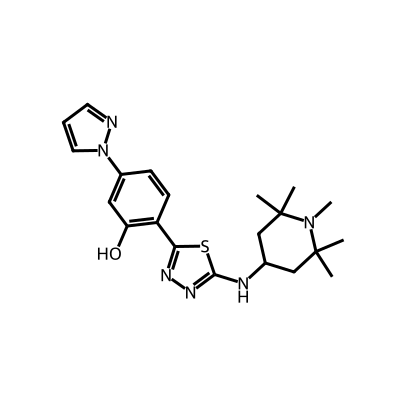 CN1C(C)(C)CC(Nc2nnc(-c3ccc(-n4cccn4)cc3O)s2)CC1(C)C